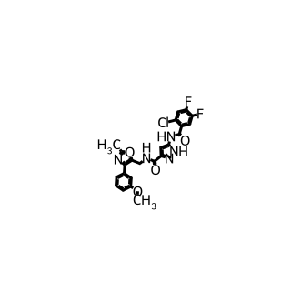 COc1cccc(-c2nc(C)oc2CNC(=O)c2cc(NC(=O)c3cc(F)c(F)cc3Cl)[nH]n2)c1